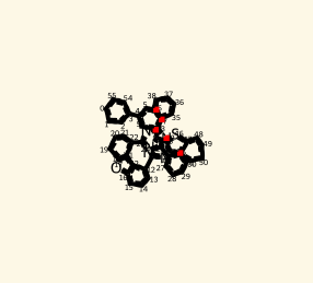 c1ccc(-c2cccc(-c3nc(-c4cccc5oc6cccc(-c7nc(-c8ccccc8)nc(-c8ccccc8)n7)c6c45)nc4c3sc3ccccc34)c2)cc1